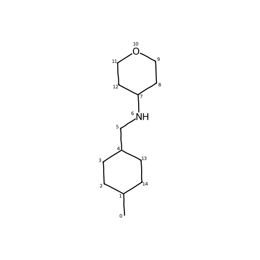 CC1CCC(CNC2CCOCC2)CC1